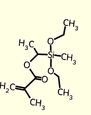 C=C(C)C(=O)OC(C)[Si](C)(OCC)OCC